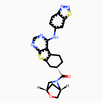 O=C([C@H]1CCc2c(sc3ncnc(Nc4ccc5nnsc5c4)c23)C1)N1C[C@@H]2C[C@H]1CO2